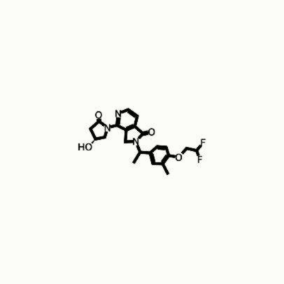 Cc1cc(C(C)N2Cc3c(ccnc3N3C[C@H](O)CC3=O)C2=O)ccc1OCC(F)F